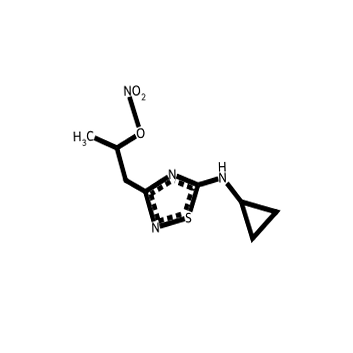 CC(Cc1nsc(NC2CC2)n1)O[N+](=O)[O-]